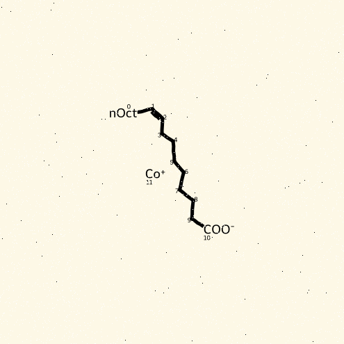 CCCCCCCC/C=C\CCCCCCCC(=O)[O-].[Co+]